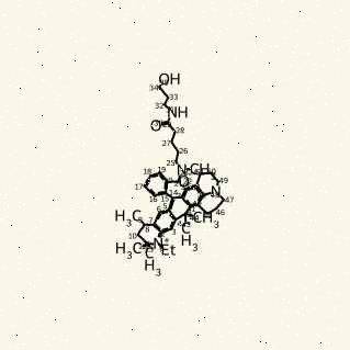 CC[N+]1=c2cc3c(cc2C(C)CC1(C)C)=C(c1ccccc1C(=O)N(C)CCCCC(=O)NCCCO)c1cc2c4c(c1C3(C)C)CCCN4CCC2